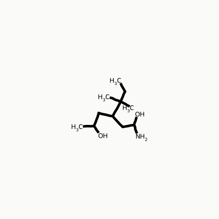 CCC(C)(C)C(CC(C)O)CC(N)O